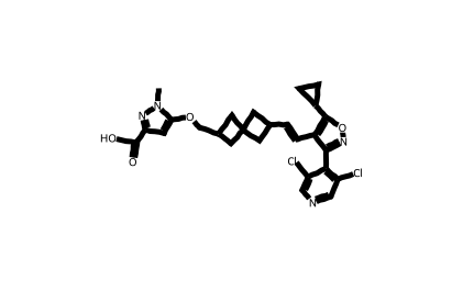 Cn1nc(C(=O)O)cc1OCC1CC2(CC(C=Cc3c(-c4c(Cl)cncc4Cl)noc3C3CC3)C2)C1